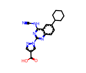 N#CNc1nc(-n2cc(C(=O)O)cn2)nc2ccc(C3CCCCC3)cc12